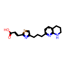 O=C(O)/C=C/c1nc(CCCc2ccc3c(n2)NCCC3)cs1